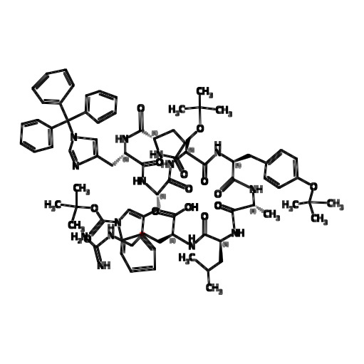 CC(C)C[C@H](NC(=O)[C@@H](C)NC(=O)[C@H](Cc1ccc(OC(C)(C)C)cc1)NC(=O)[C@H](COC(C)(C)C)NC(=O)[C@H](Cc1cn(C(=O)OC(C)(C)C)c2ccccc12)NC(=O)[C@H](Cc1cn(C(c2ccccc2)(c2ccccc2)c2ccccc2)cn1)NC(=O)[C@@H]1CCC(=O)N1)C(=O)N[C@@H](CCCNC(=N)N)C(=O)O